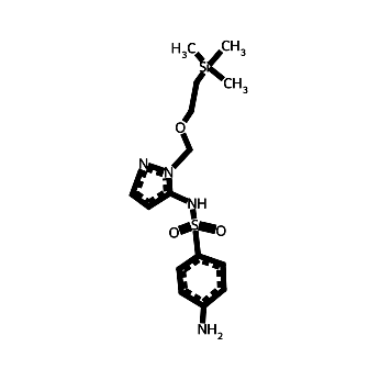 C[Si](C)(C)CCOCn1nccc1NS(=O)(=O)c1ccc(N)cc1